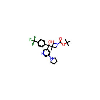 CC(C)(C)OC(=O)N1CC(C)(C(O)(c2ccc(C(F)(F)F)cc2)c2cncc(N3CCCC3)c2)C1